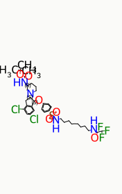 CC(C)(C)OC(=O)N[C@@H]1CCCN([C@H]2Cc3c(Cl)cc(Cl)cc3[C@@H]2Oc2ccc(S(=O)(=O)NCCCCCCCCNC(=O)C(F)(F)F)cc2)C1